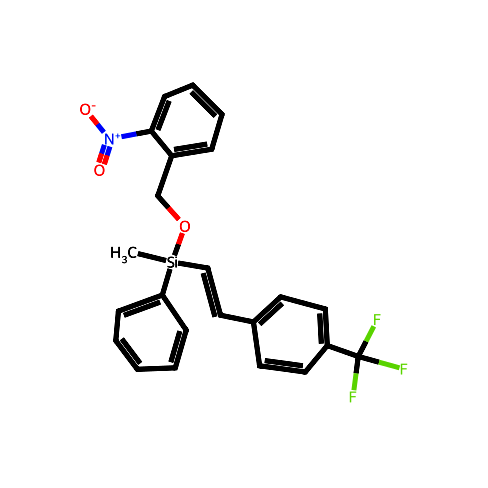 C[Si](C=Cc1ccc(C(F)(F)F)cc1)(OCc1ccccc1[N+](=O)[O-])c1ccccc1